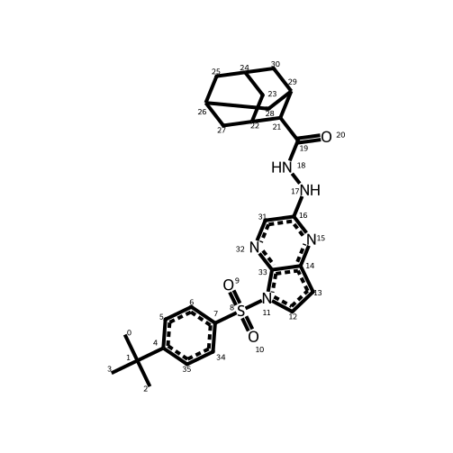 CC(C)(C)c1ccc(S(=O)(=O)n2ccc3nc(NNC(=O)C4C5CC6CC(C5)CC4C6)cnc32)cc1